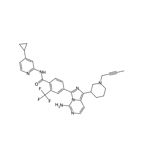 CC#CCN1CCCC(c2nc(-c3ccc(C(=O)Nc4cc(C5CC5)ccn4)c(C(F)(F)F)c3)n3c(N)nccc23)C1